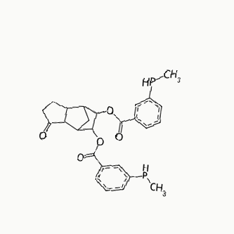 CPc1cccc(C(=O)OC2C3CC(C2OC(=O)c2cccc(PC)c2)C2C(=O)CCC32)c1